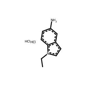 CCn1ccc2cc(N)ccc21.Cl.Cl